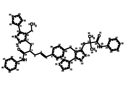 CCn1c(SC(CC=Cc2ccc(Cn3c(SC(C)(C)C(=O)Nc4ccccc4)nnc3-c3ccsc3)cc2)C(=O)Nc2ccccc2)nnc1-c1ccsc1